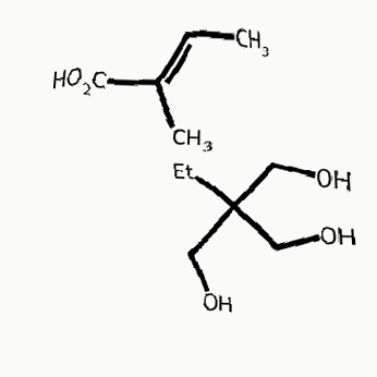 CC=C(C)C(=O)O.CCC(CO)(CO)CO